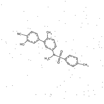 Cc1ccc(S(=O)(=O)N(C)c2ccc(C)c(-c3ccc(C#N)c(O)c3)c2)cc1